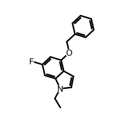 CCn1ccc2c(OCc3ccccc3)cc(F)cc21